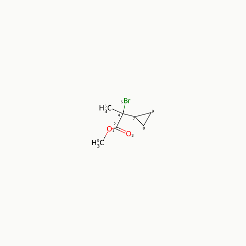 COC(=O)C(C)(Br)C1CC1